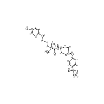 CC(C)(CCCOc1ccc(Cl)cc1)C(=O)N[C@H]1CC[C@H](Oc2ccc(S(C)(=O)=O)cc2)CC1